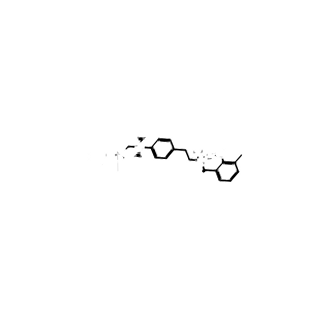 CCOC(=O)NCS(=O)(=O)c1ccc(CCNC(=O)c2cccc(C)c2OC)cc1